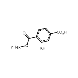 CCCCCCOC(=O)c1ccc(C(=O)O)cc1.[KH]